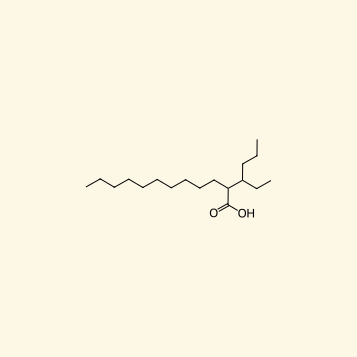 CCCCCCCCCCC(C(=O)O)C(CC)CCC